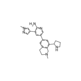 CN1CCc2cc(-c3cnc(N)c(-c4cnn(C)c4)c3)cc(C3CCCN3)c2C1